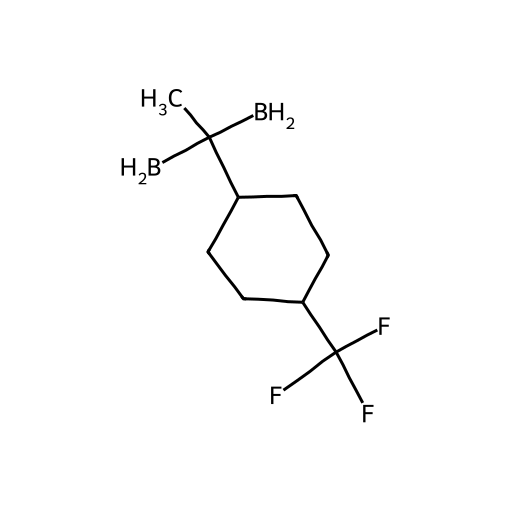 BC(B)(C)C1CCC(C(F)(F)F)CC1